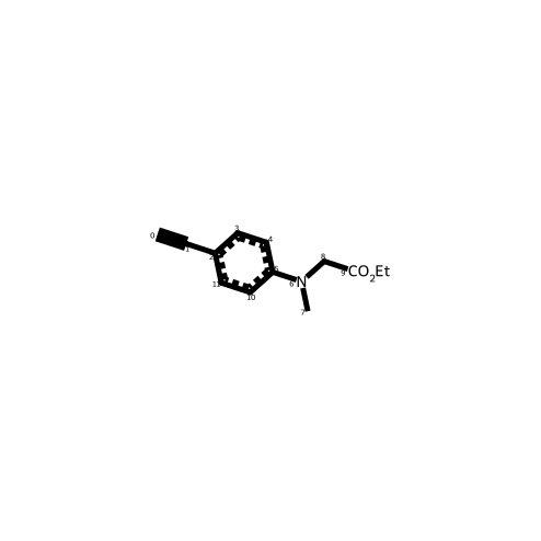 C#Cc1ccc(N(C)CC(=O)OCC)cc1